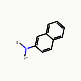 CCN(c1ccc2ccccc2c1)C(C)C